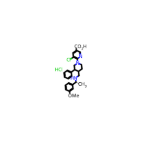 COc1cccc([C@@H](C)NCC2CCN(c3ncc(C(=O)O)cc3Cl)CC2c2ccccc2)c1.Cl